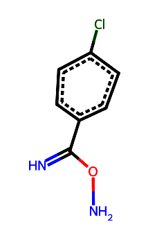 N=C(ON)c1ccc(Cl)cc1